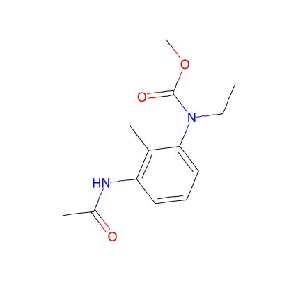 CCN(C(=O)OC)c1cccc(NC(C)=O)c1C